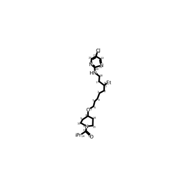 CCC(CCCCCOC1CCN(C(=O)C(C)C)CC1)CCNc1ncc(Cl)cn1